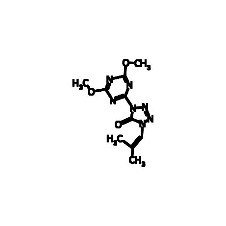 COc1nc(OC)nc(-n2nnn(C=C(C)C)c2=O)n1